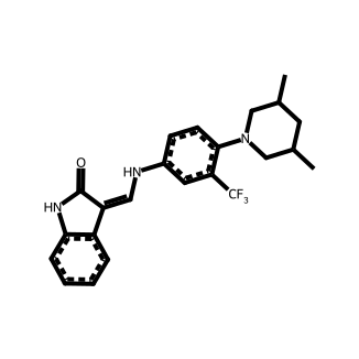 CC1CC(C)CN(c2ccc(NC=C3C(=O)Nc4ccccc43)cc2C(F)(F)F)C1